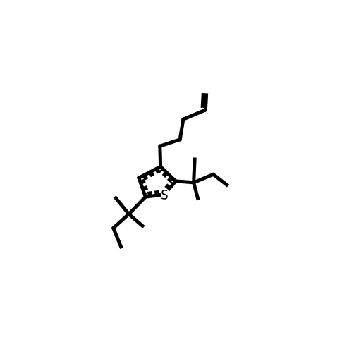 C=CCCCc1cc(C(C)(C)CC)sc1C(C)(C)CC